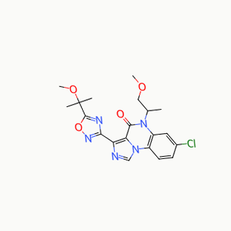 COCC(C)n1c(=O)c2c(-c3noc(C(C)(C)OC)n3)ncn2c2ccc(Cl)cc21